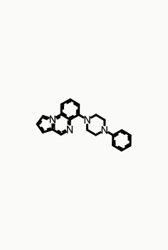 c1ccc(N2CCN(c3cccc4c3ncc3cccn34)CC2)cc1